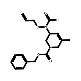 C=CCON(C(=O)Cl)C1C=C(C)CN(C(=O)OCc2ccccc2)C1